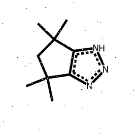 CC1(C)CC(C)(C)c2[nH]nnc21